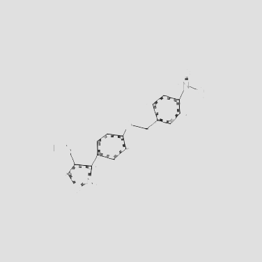 Nc1conc1-c1ccc(OCc2ccc([N+](=O)[O-])cc2)cc1